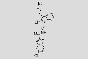 CCOCCn1c(Cl)c(/C=N/NC(=O)c2cc3cc(Cl)ccc3o2)c2ccccc21